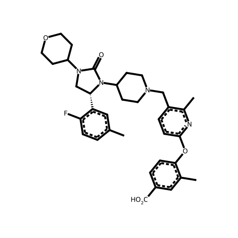 Cc1ccc(F)c([C@@H]2CN(C3CCOCC3)C(=O)N2C2CCN(Cc3ccc(Oc4ccc(C(=O)O)cc4C)nc3C)CC2)c1